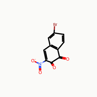 O=C1C(=O)c2ccc(Br)cc2C=C1[N+](=O)[O-]